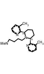 CNCCCCN1[C@@H](c2ncccc2C)CCC[C@H]1c1ncccc1C